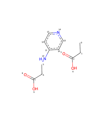 CCC(=O)O.CCC(=O)O.Nc1ccncc1